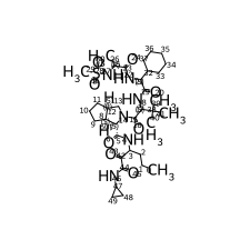 CCCC(NC(=O)[C@@H]1[C@H]2CCC[C@H]2CN1C(=O)[C@@H](NC(=O)[C@@H](NC(=O)[C@@H](C)NS(C)(=O)=O)C1CCCCC1)C(C)(C)C)C(=O)C(=O)NC1CC1